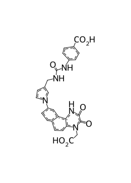 O=C(O)Cn1c(=O)c(=O)[nH]c2c3cc(-n4ccc(CNC(=O)Nc5ccc(C(=O)O)cc5)c4)ccc3ccc21